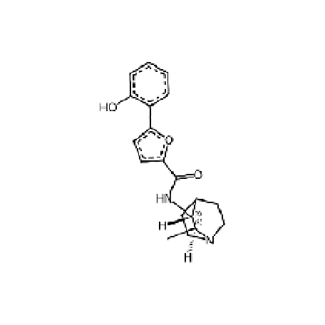 C[C@H]1[C@H](NC(=O)c2ccc(-c3ccccc3O)o2)C2CCN1CC2